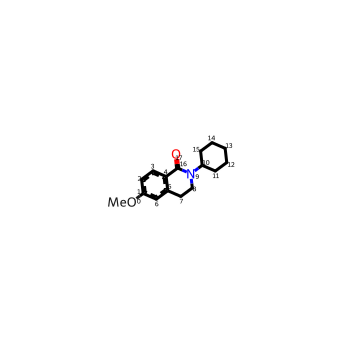 COc1ccc2c(c1)CCN(C1CCCCC1)C2=O